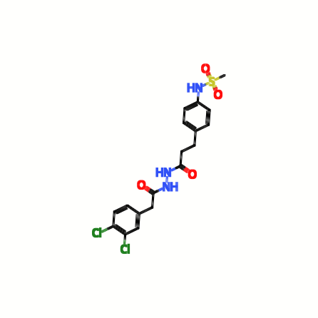 CS(=O)(=O)Nc1ccc(CCC(=O)NNC(=O)Cc2ccc(Cl)c(Cl)c2)cc1